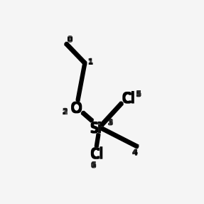 CCO[Si](C)(Cl)Cl